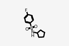 O=S(=O)(NC1CCCC1)c1ccc(F)cc1